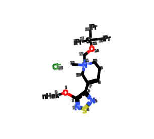 CCCCCCOc1nsnc1C1=CCC[N+](C)(CO[Si](C(C)C)(C(C)C)C(C)C)C1.[Cl-]